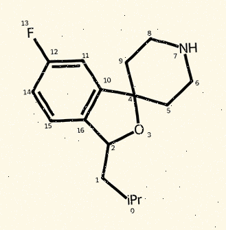 CC(C)CC1OC2(CCNCC2)c2cc(F)ccc21